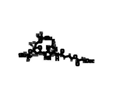 CCCCCCCCCCCC(=O)OCCCC(=O)Nc1nc(F)nc2c1ncn2[C@H]1CC(O[Si](C)(C)C(C)(C)C)[C@@](C)(CO[Si](C)(C)C(C)(C)C)O1